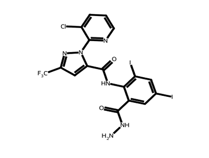 NNC(=O)c1cc(I)cc(I)c1NC(=O)c1cc(C(F)(F)F)nn1-c1ncccc1Cl